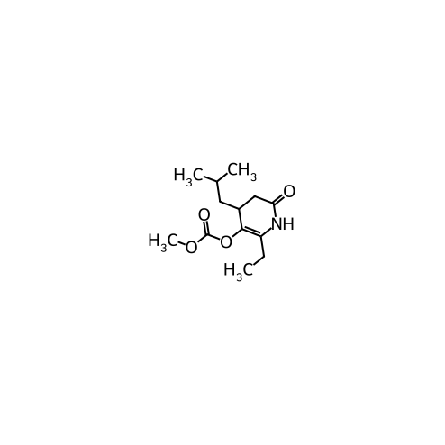 CCC1=C(OC(=O)OC)C(CC(C)C)CC(=O)N1